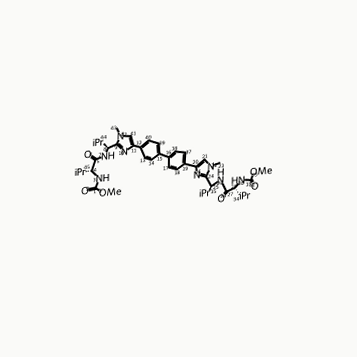 COC(=O)N[C@@H](C(=O)N[C@H](c1nc(-c2ccc(-c3ccc(-c4cn(C)c([C@@H](NC(=O)[C@H](NC(=O)OC)C(C)C)C(C)C)n4)cc3)cc2)cn1C)C(C)C)C(C)C